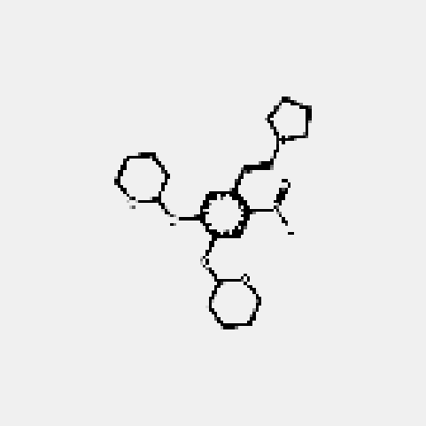 O=[N+]([O-])c1cc(OC2CCCCO2)c(OC2CCCCO2)cc1C=CN1CCCC1